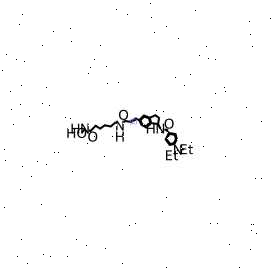 CCN(CC)c1ccc(C(=O)NC2CCc3cc(/C=C/C(=O)NCCCCCC(=O)NO)ccc32)cc1